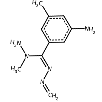 C=N/N=C(/c1cc(C)cc(N)c1)N(C)N